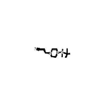 CC(C)(C)[Si](C)(C)N1CCN(CCC#N)CC1